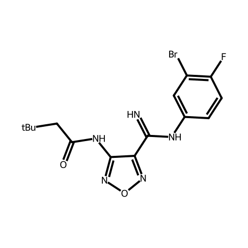 CC(C)(C)CC(=O)Nc1nonc1C(=N)Nc1ccc(F)c(Br)c1